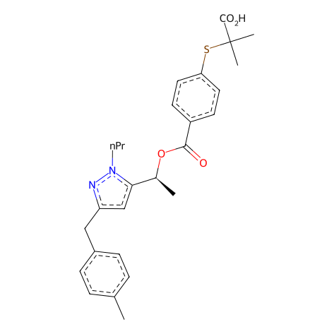 CCCn1nc(Cc2ccc(C)cc2)cc1[C@H](C)OC(=O)c1ccc(SC(C)(C)C(=O)O)cc1